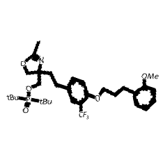 COc1ccccc1CCCOc1ccc(CCC2(COP(=O)(C(C)(C)C)C(C)(C)C)COC(C)=N2)cc1C(F)(F)F